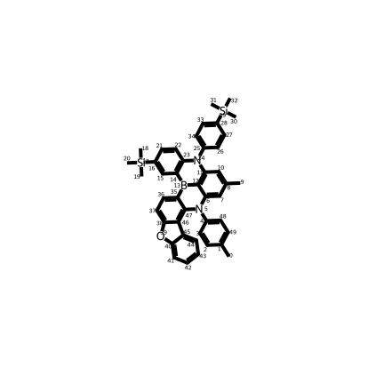 Cc1ccc(N2c3cc(C)cc4c3B(c3cc([Si](C)(C)C)ccc3N4c3ccc([Si](C)(C)C)cc3)c3ccc4oc5ccccc5c4c32)cc1